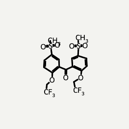 CS(=O)(=O)c1ccc(OCC(F)(F)F)c(C(=O)c2cc(S(C)(=O)=O)ccc2OCC(F)(F)F)c1